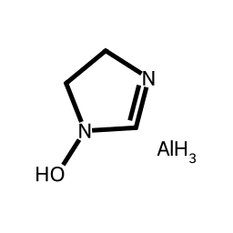 ON1C=NCC1.[AlH3]